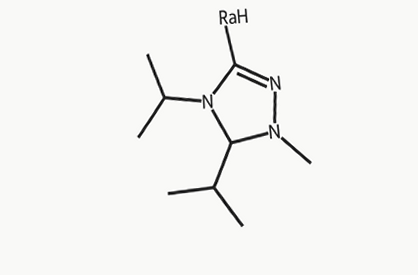 CC(C)C1N(C)N=[C]([RaH])N1C(C)C